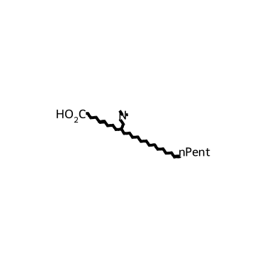 CCCCC/C=C\CCCCCCCCCCCCC(CCC/C=C/CCCC(=O)O)CCN(C)C